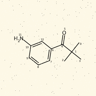 CC(C)(C)C(=O)c1cc[c]c(N)c1